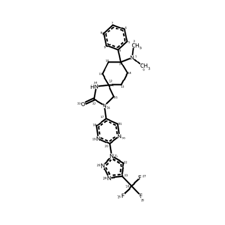 CN(C)C1(c2ccccc2)CCC2(CC1)CN(c1cnc(-n3cc(C(F)(F)F)nn3)nc1)C(=O)N2